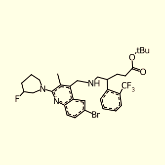 Cc1c(N2CCCC(F)C2)nc2ccc(Br)cc2c1CNCC(CCC(=O)OC(C)(C)C)c1ccccc1C(F)(F)F